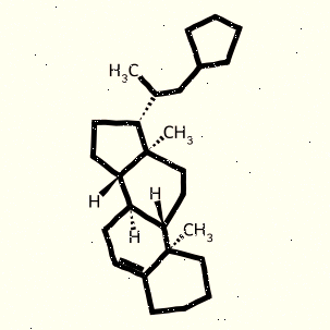 CC(CC1CCCC1)[C@H]1CC[C@H]2[C@@H]3CC=C4CCCC[C@]4(C)[C@H]3CC[C@]12C